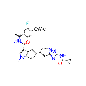 COc1ccc([C@H](C)NC(=O)c2cn(C)c3ccc(-c4ccn5nc(NC(=O)C6CC6)nc5c4)cc23)cc1F